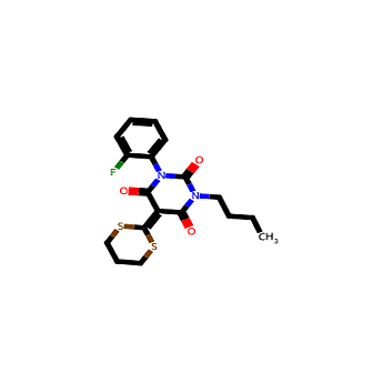 CCCCN1C(=O)C(=C2SCCCS2)C(=O)N(c2ccccc2F)C1=O